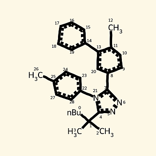 CCCCC(C)(C)c1nnc(-c2ccc(C)c(-c3ccccc3)c2)n1-c1ccc(C)cc1